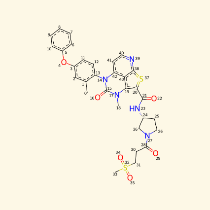 Cc1cc(Oc2ccccc2)ccc1N1C(=O)N(C)c2c(C(=O)N[C@@H]3CCN(C(=O)CCS(C)(=O)=O)C3)sc3nccc1c23